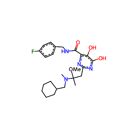 COC(C)(Cc1nc(O)c(O)c(C(=O)NCc2ccc(F)cc2)n1)N(C)CC1CCCCC1